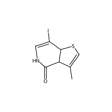 CC1=CSC2C(I)=CNC(=O)C12